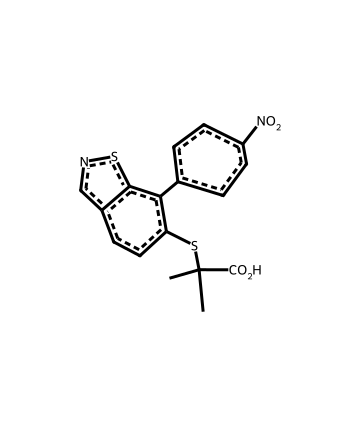 CC(C)(Sc1ccc2cnsc2c1-c1ccc([N+](=O)[O-])cc1)C(=O)O